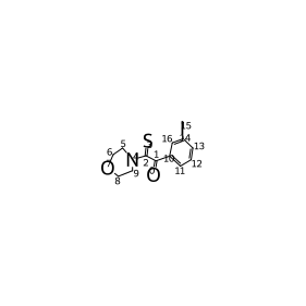 O=C(C(=S)N1CCOCC1)c1cccc(I)c1